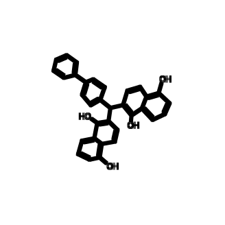 Oc1cccc2c(O)c(C(c3ccc(-c4ccccc4)cc3)c3ccc4c(O)cccc4c3O)ccc12